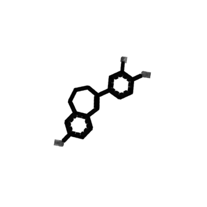 Oc1ccc2c(c1)CCCC(c1ccc(O)c(Cl)c1)=C2